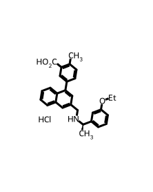 CCOc1cccc([C@@H](C)NCc2cc(-c3ccc(C)c(C(=O)O)c3)c3ccccc3c2)c1.Cl